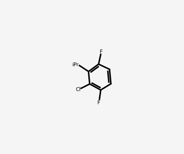 CC(C)c1c(F)ccc(F)c1Cl